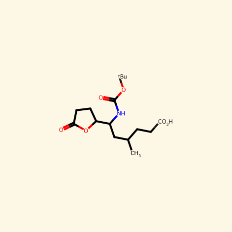 CC(CCC(=O)O)CC(NC(=O)OC(C)(C)C)C1CCC(=O)O1